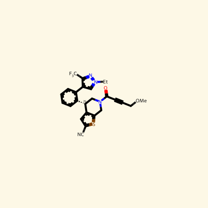 CCn1cc(-c2ccccc2[C@@H]2CN(C(=O)C#CCOC)Cc3sc(C#N)cc32)c(C(F)(F)F)n1